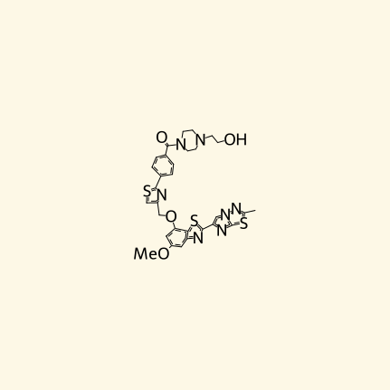 COc1cc(OCc2csc(-c3ccc(C(=O)N4CCN(CCO)CC4)cc3)n2)c2sc(-c3cn4nc(C)sc4n3)nc2c1